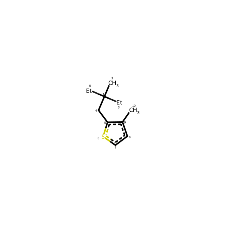 CCC(C)(CC)Cc1sccc1C